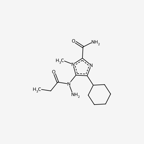 CCC(=O)N(N)c1c(C2CCCCC2)nc(C(N)=O)n1C